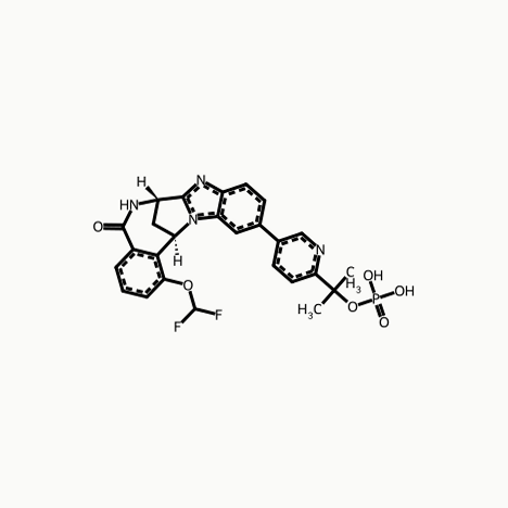 CC(C)(OP(=O)(O)O)c1ccc(-c2ccc3nc4n(c3c2)[C@@H]2C[C@@H]4NC(=O)c3cccc(OC(F)F)c32)cn1